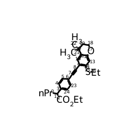 CCCC(C(=O)OCC)c1ccc(C#Cc2cc3c(cc2SCC)OCCC3(C)C)cc1